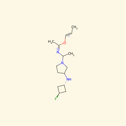 C/C=C/O/C(C)=N\C(C)N1CCC(N[C@H]2C[C@H](F)C2)C1